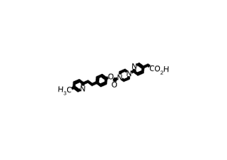 Cc1ccc(CCc2ccc(OC(=O)N3CCN(c4ccc(CC(=O)O)cn4)CC3)cc2)nc1